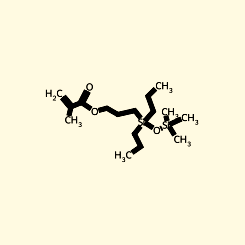 C=C(C)C(=O)OCCC[Si](CCC)(CCC)O[Si](C)(C)C